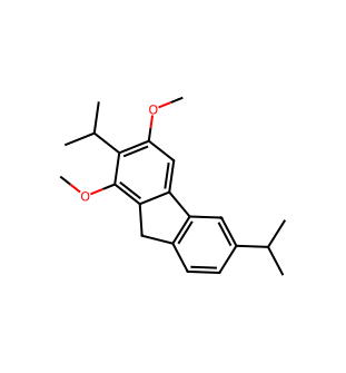 COc1cc2c(c(OC)c1C(C)C)Cc1ccc(C(C)C)cc1-2